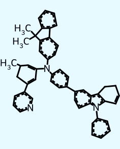 CC1C=C(N(c2ccc(-c3ccc4c(c3)c3c(n4-c4ccccc4)C=CCC3)cc2)c2ccc3c(c2)C(C)(C)c2ccccc2-3)C=C(c2cccnc2)C1